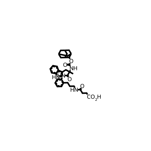 CC(Cc1c[nH]c2ccccc12)(NC(=O)OC1C2CC3CC(C2)CC1C3)C(=O)Nc1ccccc1CCCNC(=O)CCC(=O)O